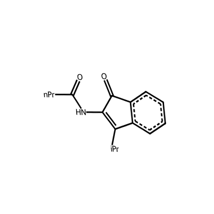 CCCC(=O)NC1=C(C(C)C)c2ccccc2C1=O